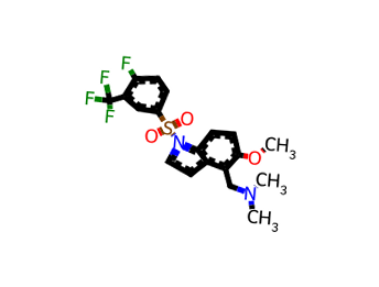 COc1ccc2c(ccn2S(=O)(=O)c2ccc(F)c(C(F)(F)F)c2)c1CN(C)C